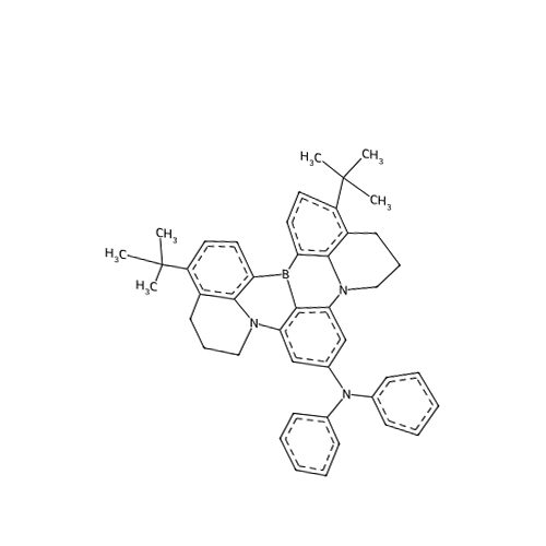 CC(C)(C)c1ccc2c3c1CCCN3c1cc(N(c3ccccc3)c3ccccc3)cc3c1B2c1ccc(C(C)(C)C)c2c1N3CCC2